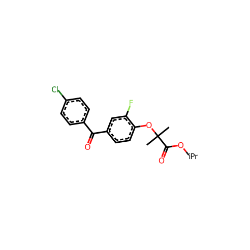 CC(C)OC(=O)C(C)(C)Oc1ccc(C(=O)c2ccc(Cl)cc2)cc1F